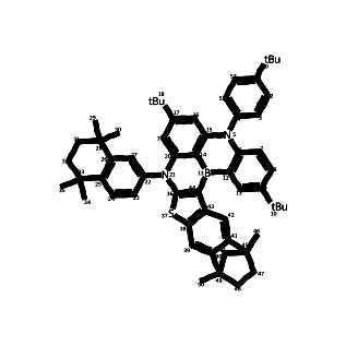 CC(C)(C)c1ccc(N2c3ccc(C(C)(C)C)cc3B3c4c2cc(C(C)(C)C)cc4N(c2ccc4c(c2)C(C)(C)CCC4(C)C)c2sc4cc5c(cc4c23)C2(C)CCC5(C)C2)cc1